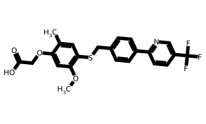 COc1cc(OCC(=O)O)c(C)cc1SCc1ccc(-c2ccc(C(F)(F)F)cn2)cc1